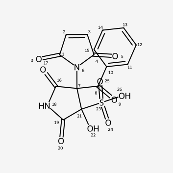 O=C1C=CC(=O)N1C1(C(=O)c2ccccc2)C(=O)NC(=O)C1(O)S(=O)(=O)O